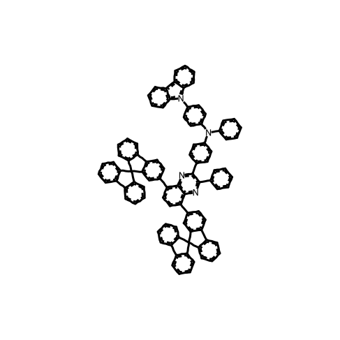 c1ccc(-c2nc3c(-c4ccc5c(c4)C4(c6ccccc6-c6ccccc64)c4ccccc4-5)ccc(-c4ccc5c(c4)C4(c6ccccc6-c6ccccc64)c4ccccc4-5)c3nc2-c2ccc(N(c3ccccc3)c3ccc(-n4c5ccccc5c5ccccc54)cc3)cc2)cc1